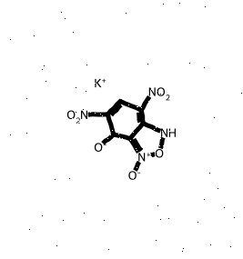 O=[N+]([O-])C1=CC([N+](=O)[O-])=C2NO[N+]([O-])=C2C1[O-].[K+]